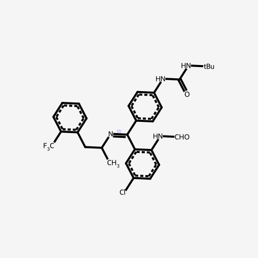 CC(Cc1ccccc1C(F)(F)F)/N=C(/c1ccc(NC(=O)NC(C)(C)C)cc1)c1cc(Cl)ccc1NC=O